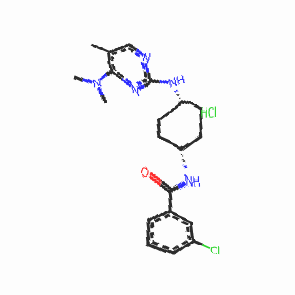 Cc1cnc(N[C@H]2CC[C@@H](NC(=O)c3cccc(Cl)c3)CC2)nc1N(C)C.Cl